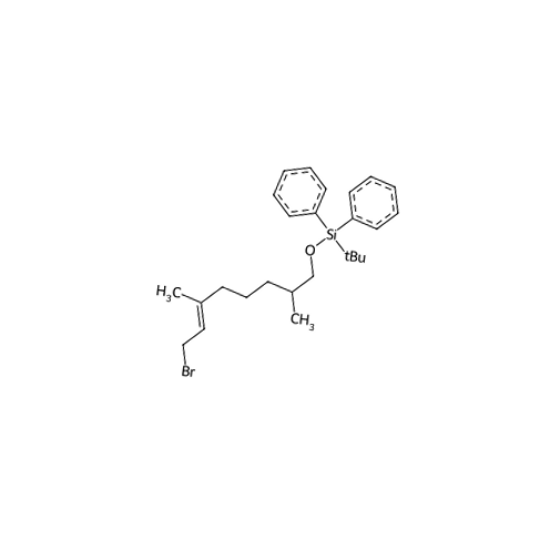 CC(=CCBr)CCCC(C)CO[Si](c1ccccc1)(c1ccccc1)C(C)(C)C